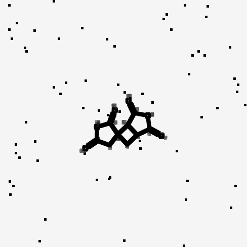 O=C1CC2(CC3C(=O)OC(=O)C32)C(=O)O1